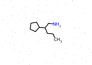 CCCC(CN)C1CCCC1